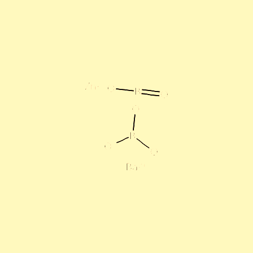 O=B[O-].[Ba+2].[O-]B([O-])[O-].[Zn+2]